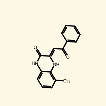 O=C1Nc2cccc(O)c2N/C1=C\C(=O)c1ccccc1